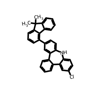 CC1(C)c2ccccc2-c2c(-c3ccc4c(c3)-c3ccccc3-c3cc(Cl)ccc3N4)cccc21